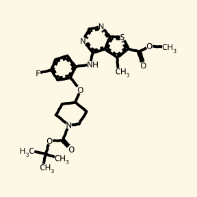 COC(=O)c1sc2ncnc(Nc3ccc(F)cc3OC3CCN(C(=O)OC(C)(C)C)CC3)c2c1C